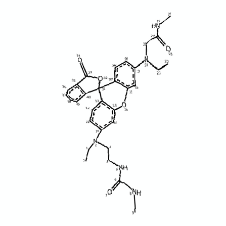 CCN(CCNC(=O)NC)c1ccc2c(c1)Oc1cc(N(CC)CC(=O)NC)ccc1C21OC(=O)c2ccccc21